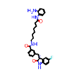 Nc1ccccc1NC(=O)CCCCCCCNC(=O)c1cccc(/C=C2\C(=O)Nc3ccc(F)cc32)c1